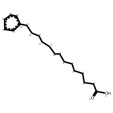 O=C(O)CCCCCCCCCCCCCc1ccccc1